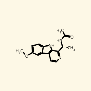 COc1ccc2[nH]c3c([C@@H](C)NC(C)=O)nccc3c2c1